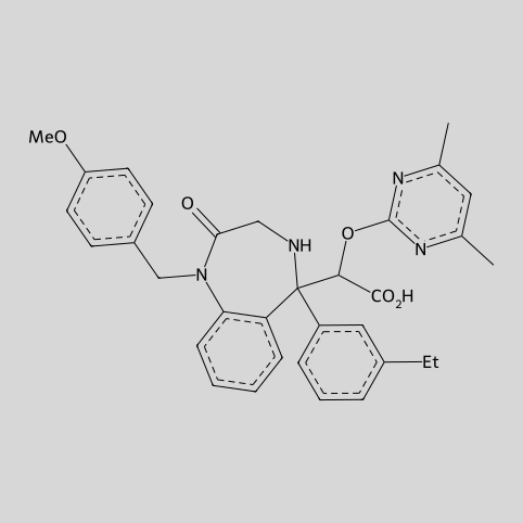 CCc1cccc(C2(C(Oc3nc(C)cc(C)n3)C(=O)O)NCC(=O)N(Cc3ccc(OC)cc3)c3ccccc32)c1